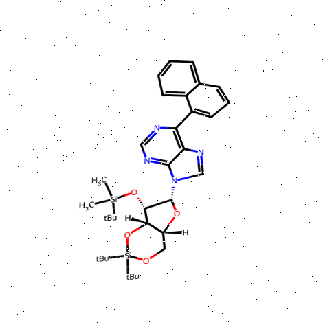 CC(C)(C)[Si](C)(C)O[C@H]1[C@H]2O[Si](C(C)(C)C)(C(C)(C)C)OC[C@H]2O[C@H]1n1cnc2c(-c3cccc4ccccc34)ncnc21